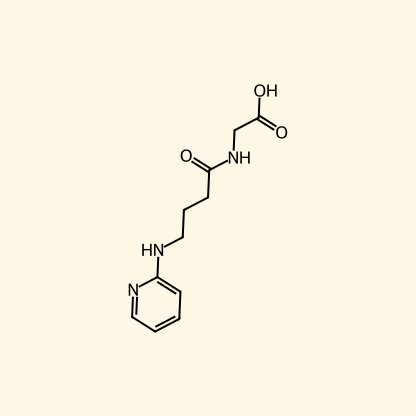 O=C(O)CNC(=O)CCCNc1ccccn1